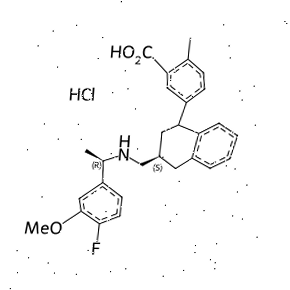 COc1cc([C@@H](C)NC[C@@H]2Cc3ccccc3C(c3ccc(C)c(C(=O)O)c3)C2)ccc1F.Cl